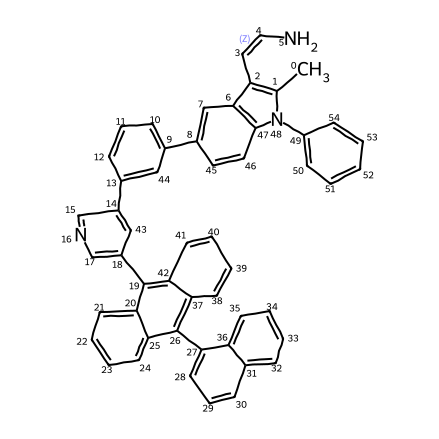 Cc1c(/C=C\N)c2cc(-c3cccc(-c4cncc(-c5c6ccccc6c(-c6cccc7ccccc67)c6ccccc56)c4)c3)ccc2n1-c1ccccc1